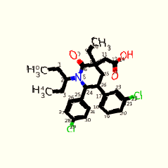 CCC(CC)N1C(=O)C(CC)(CC(=O)O)CC(c2cccc(Cl)c2)C1c1ccc(Cl)cc1